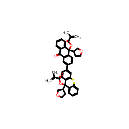 C=C(C)C(=O)OC1(C2CCOC2)c2ccccc2Sc2cc(-c3ccc4c(c3)C(=O)c3ccccc3C4(OC(=O)C(=C)C)C3CCOC3)ccc21